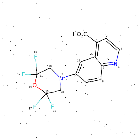 O=C(O)c1ccnc2ccc(N3CC(F)(F)OC(F)(F)C3)cc12